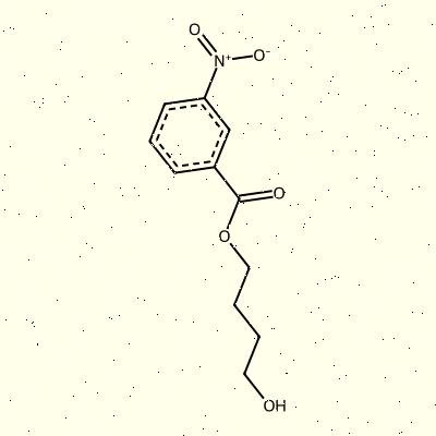 O=C(OCCCCO)c1cccc([N+](=O)[O-])c1